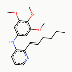 CCCCC=Cc1ncccc1Nc1cc(OC)c(OC)c(OC)c1